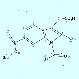 Cc1c(CC(=O)O)c2ccc(C(=O)OC(C)(C)C)cc2n1C(N)=O